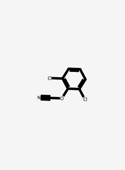 N#COc1c(Cl)c[c]cc1Cl